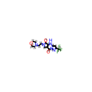 O=C1c2[nH]c3cc(C(F)(F)F)nn3c(=O)c2CN1CCN1CCOCC1